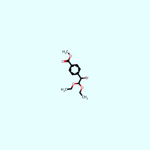 CCOC(OCC)C(Br)c1ccc(C(=O)OC)cc1